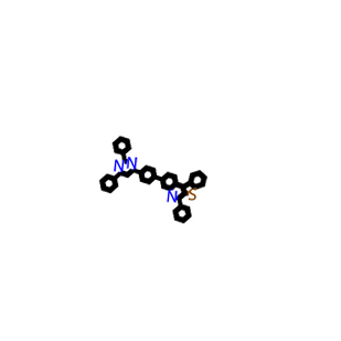 c1ccc(-c2cc(-c3ccc(-c4ccc5c(c4)nc(-c4ccccc4)c4sc6ccccc6c45)cc3)nc(-c3ccccc3)n2)cc1